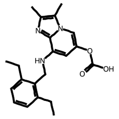 CCc1cccc(CC)c1CNc1cc(OC(=O)O)cn2c(C)c(C)nc12